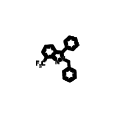 FC(F)(F)c1cccc2c(-c3c[c]ccc3)n(Cc3ccccc3)nc12